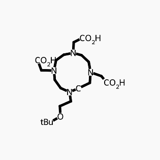 CC(C)(C)OCCN1CCN(CC(=O)O)CCN(CC(=O)O)CCN(CC(=O)O)CC1